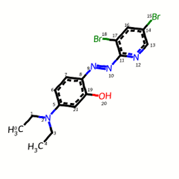 CCN(CC)c1ccc(/N=N/c2ncc(Br)cc2Br)c(O)c1